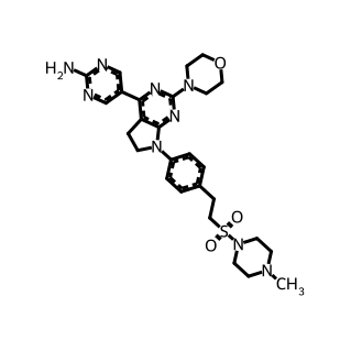 CN1CCN(S(=O)(=O)CCc2ccc(N3CCc4c(-c5cnc(N)nc5)nc(N5CCOCC5)nc43)cc2)CC1